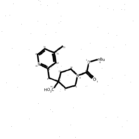 CCCCOC(=O)N1CCC(Cc2cc(C)ccn2)(C(=O)O)CC1